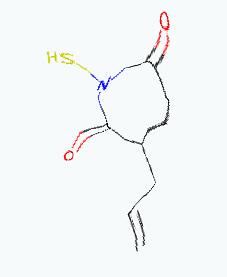 C=CCC1CC(=O)N(S)C1=O